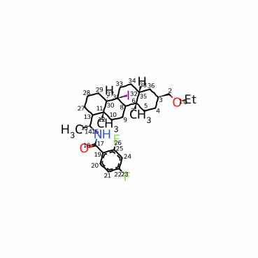 CCOC[C@H]1CC[C@]2(C)C3CC[C@]4(C)C([C@H](C)NC(=O)c5ccc(F)cc5F)CCC[C@H]4[C@]3(I)CC[C@@H]2C1